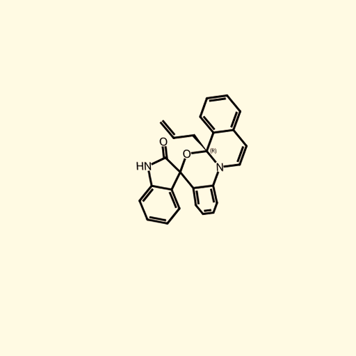 C=CC[C@]12OC3(C(=O)Nc4ccccc43)c3ccccc3N1C=Cc1ccccc12